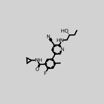 CC[C@@H](O)CNc1ncc(-c2cc(C(=O)NC3CC3)c(F)cc2C)cc1C#N